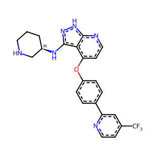 FC(F)(F)c1ccnc(-c2ccc(Oc3ccnc4[nH]nc(N[C@@H]5CCCNC5)c34)cc2)c1